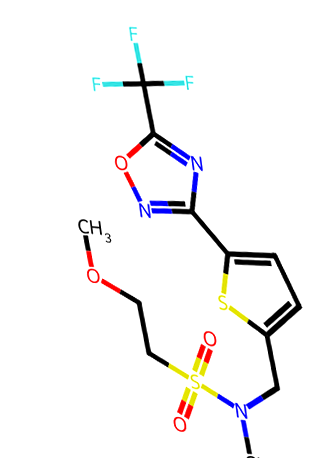 COCCS(=O)(=O)N(C)Cc1ccc(-c2noc(C(F)(F)F)n2)s1